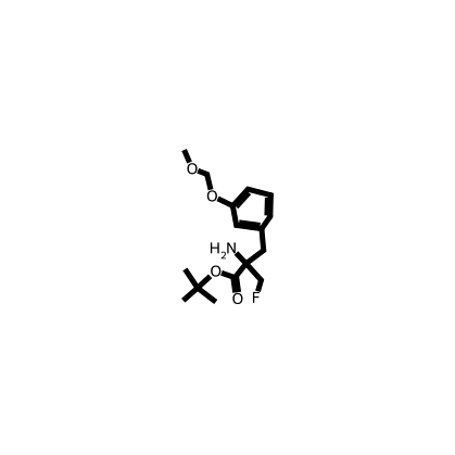 COCOc1cccc(CC(N)(CF)C(=O)OC(C)(C)C)c1